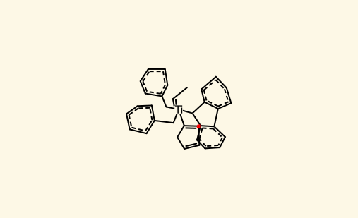 C[CH]=[Ti]([CH2]c1ccccc1)([CH2]c1ccccc1)([C]1=CC=CC1)[CH]1c2ccccc2-c2ccccc21